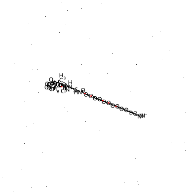 CCc1c2c(nc3ccc(Oc4nc(Cl)nc(NCCSSCCNC(=O)CCOCCOCCOCCOCCOCCOCCOCCOCCOCCOCCOCCOCCN=[N+]=[N-])n4)cc13)-c1cc3c(c(=O)n1C2)COC(=O)[C@]3(O)CC